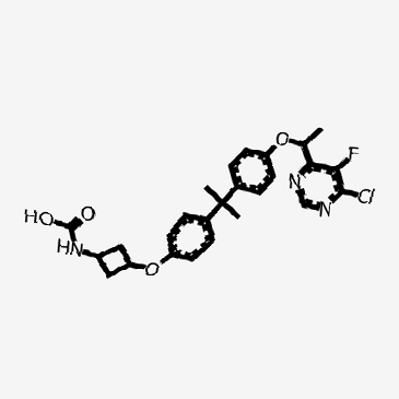 CC(Oc1ccc(C(C)(C)c2ccc(OC3CC(NC(=O)O)C3)cc2)cc1)c1ncnc(Cl)c1F